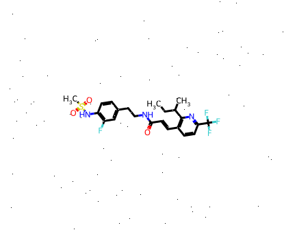 CCC(C)c1nc(C(F)(F)F)ccc1C=CC(=O)NCCc1ccc(NS(C)(=O)=O)c(F)c1